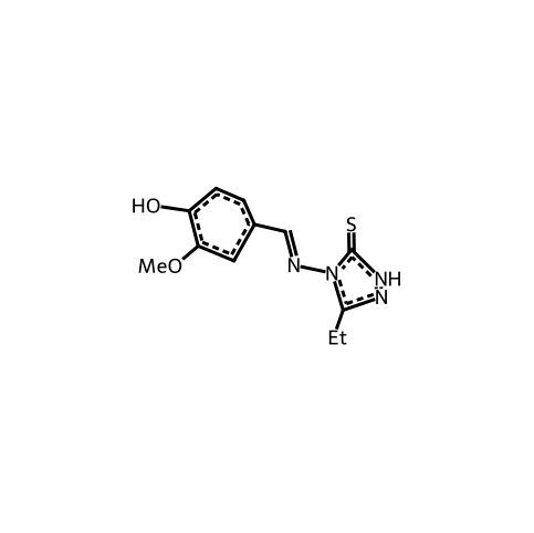 CCc1n[nH]c(=S)n1N=Cc1ccc(O)c(OC)c1